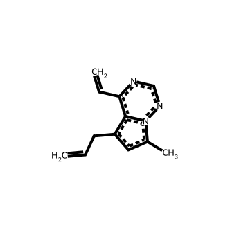 C=CCc1cc(C)n2ncnc(C=C)c12